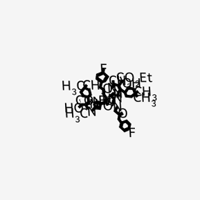 CCOC(=O)[C@@H](O)c1c(C)nc2cc(C(=NCC(=O)Cc3ccc(F)cc3)OC(=NCC(=O)Cc3ccc(F)cc3)c3cc4nc(C)c([C@H](O)C(=O)OCC)c(C5CCC(C)(C)CC5)n4n3)nn2c1C1CCC(C)(C)CC1